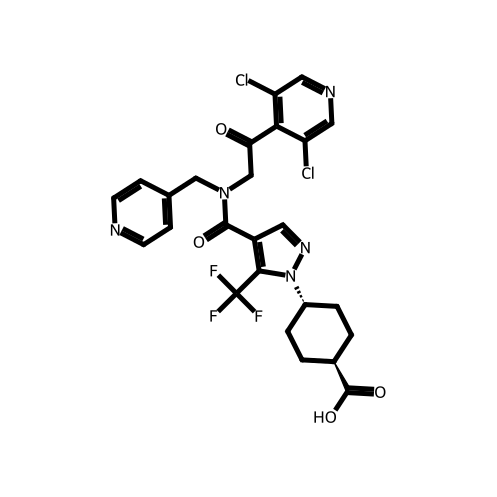 O=C(CN(Cc1ccncc1)C(=O)c1cnn([C@H]2CC[C@H](C(=O)O)CC2)c1C(F)(F)F)c1c(Cl)cncc1Cl